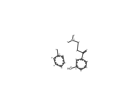 C=C(CCN(C)C)c1cccc(O)c1.Cc1ccccc1